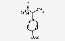 CC(=O)Oc1ccc(C(C)[SH](=O)=O)cc1